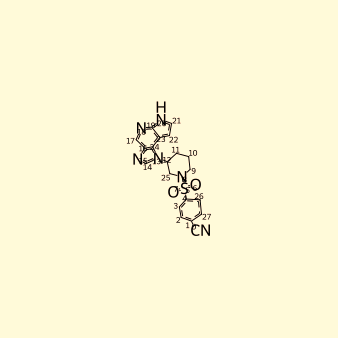 N#Cc1ccc(S(=O)(=O)N2CCCC(n3cnc4cnc5[nH]ccc5c43)C2)cc1